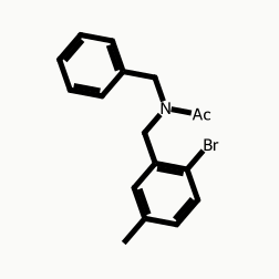 CC(=O)N(Cc1ccccc1)Cc1cc(C)ccc1Br